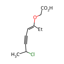 CC/C(=C\C#CC(C)Cl)OCC(=O)O